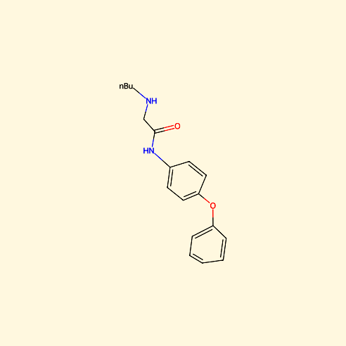 CCCCNCC(=O)Nc1ccc(Oc2ccccc2)cc1